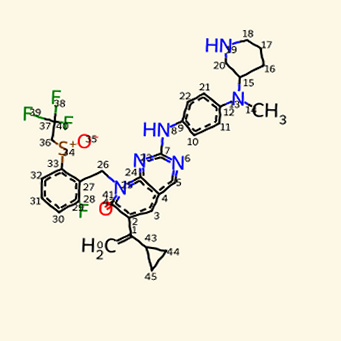 C=C(c1cc2cnc(Nc3ccc(N(C)C4CCCNC4)cc3)nc2n(Cc2c(F)cccc2[S+]([O-])CC(F)(F)F)c1=O)C1CC1